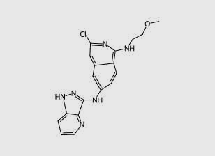 COCCNc1nc(Cl)cc2cc(Nc3n[nH]c4cccnc34)ccc12